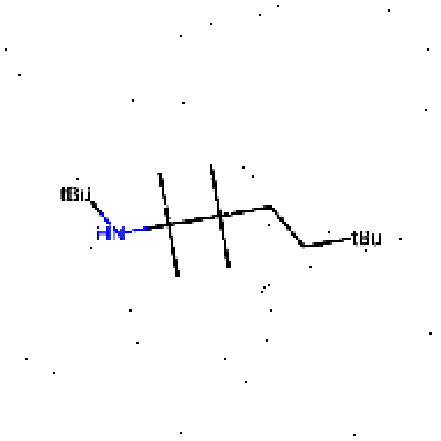 CC(C)(C)CCC(C)(C)C(C)(C)NC(C)(C)C